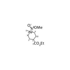 CCOC(=O)C1CC[N+](C)(C(=O)OC)CC1